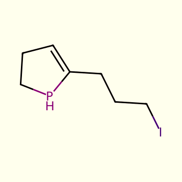 ICCCC1=CCCP1